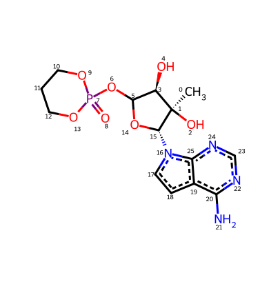 C[C@@]1(O)[C@H](O)C(OP2(=O)OCCCO2)O[C@H]1n1ccc2c(N)ncnc21